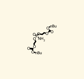 CCCCOC(=O)OCCOP(N)(=O)OCCOC(=O)OCCCC